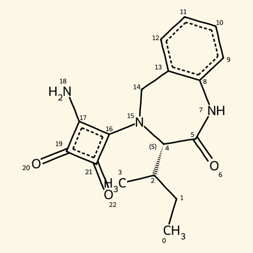 CCC(C)[C@H]1C(=O)Nc2ccccc2CN1c1c(N)c(=O)c1=O